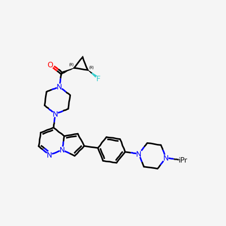 CC(C)N1CCN(c2ccc(-c3cc4c(N5CCN(C(=O)[C@H]6C[C@H]6F)CC5)ccnn4c3)cc2)CC1